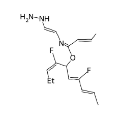 CC=CC(F)=CC(OC(/C=C/C)=N/C=C/NN)/C(F)=C\CC